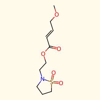 COC/C=C/C(=O)OCCN1CCCS1(=O)=O